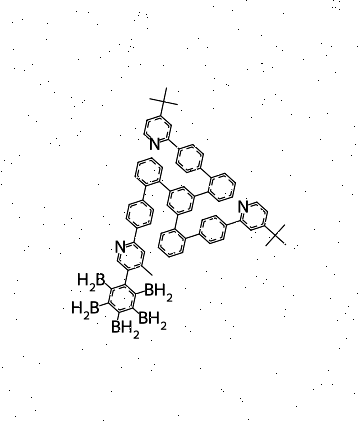 Bc1c(B)c(B)c(-c2cnc(-c3ccc(-c4ccccc4-c4cc(-c5ccccc5-c5ccc(-c6cc(C(C)(C)C)ccn6)cc5)cc(-c5ccccc5-c5ccc(-c6cc(C(C)(C)C)ccn6)cc5)c4)cc3)cc2C)c(B)c1B